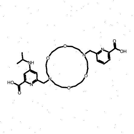 CC(C)Nc1cc(CN2CCOCCOCCN(Cc3cccc(C(=O)O)n3)CCOCCOCC2)nc(C(=O)O)c1